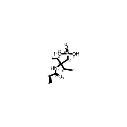 C=CC(=O)NC(CC)(CC)CP(=O)(O)O